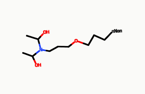 CCCCCCCCCCCCOCCCN(C(C)O)C(C)O